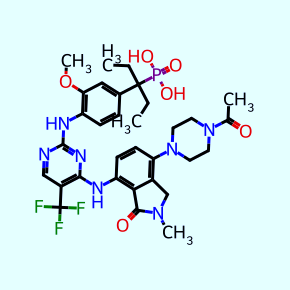 CCC(CC)(c1ccc(Nc2ncc(C(F)(F)F)c(Nc3ccc(N4CCN(C(C)=O)CC4)c4c3C(=O)N(C)C4)n2)c(OC)c1)P(=O)(O)O